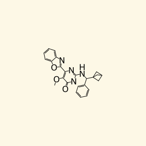 COc1c(-c2nc3ccccc3o2)nc(NC(c2ccccc2)C23CC(C2)C3)n(C)c1=O